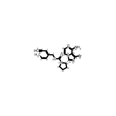 C#C/C=C(\C=C/C)COC(=O)N1CCC[C@H]1c1nc(Br)c2c(N)nccn12